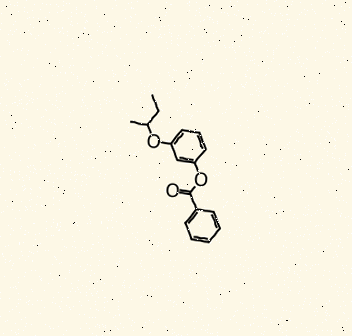 CCC(C)Oc1cccc(OC(=O)c2ccccc2)c1